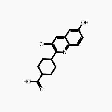 O=C(O)C1CCC(c2nc3ccc(O)cc3cc2Cl)CC1